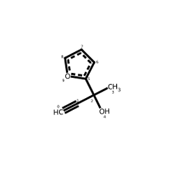 C#CC(C)(O)c1ccco1